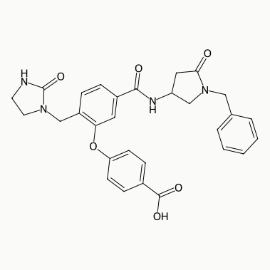 O=C(O)c1ccc(Oc2cc(C(=O)NC3CC(=O)N(Cc4ccccc4)C3)ccc2CN2CCNC2=O)cc1